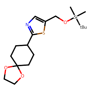 CC(C)(C)[Si](C)(C)OCc1cnc(C2CCC3(CC2)OCCO3)s1